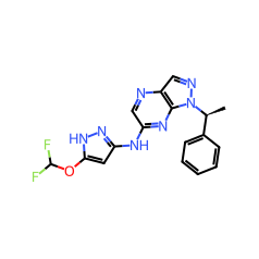 C[C@@H](c1ccccc1)n1ncc2ncc(Nc3cc(OC(F)F)[nH]n3)nc21